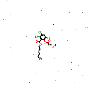 CC(C)CCCCCOC(=O)c1c(Cl)c(Cl)cc(Cl)c1OC(=O)C(=O)O